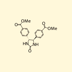 COC(=O)c1ccc([C@H]2NC(=O)N[C@@H]2c2ccc(C(=O)OC)cc2)cc1